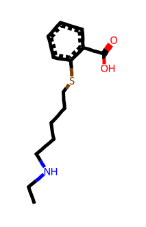 CCNCCCCCSc1ccccc1C(=O)O